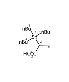 CCC[CH2][Sn]([CH2]CCC)([CH2]CCC)[CH](C)C(=O)O